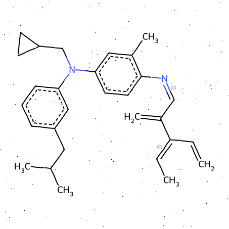 C=C/C(=C\C)C(=C)/C=N\c1ccc(N(CC2CC2)c2cccc(CC(C)C)c2)cc1C